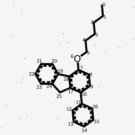 CCCCCCOc1ccc(-c2ccccc2)c2c1-c1ccccc1C2